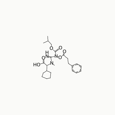 CC(C)COC(=O)N(OC(=O)CCc1ccccc1)C(=N)N(C)C(C(=O)O)C1CCCCC1